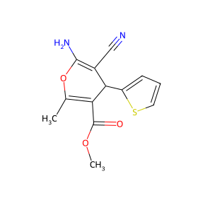 COC(=O)C1=C(C)OC(N)=C(C#N)C1c1cccs1